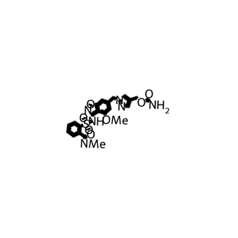 CNC(=O)c1ccccc1S(=O)(=O)Nc1noc2cc(Cn3cc(COC(N)=O)cn3)cc(OC)c12